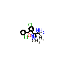 CC(N)c1cn(C)nc1-c1ccc(Cl)cc1C(=O)c1ccccc1Cl